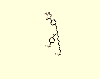 CCCCCCCCN(CCCc1ccc(C(=O)OC)cc1)Sc1ccc(C)cc1